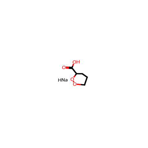 O=C(O)C1CCCOO1.[NaH]